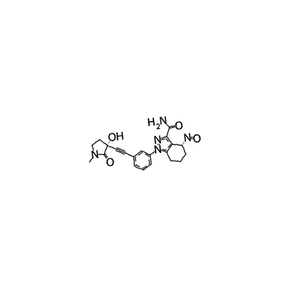 CN1CC[C@@](O)(C#Cc2cccc(-n3nc(C(N)=O)c4c3CCC[C@H]4N=O)c2)C1=O